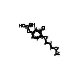 CCOCCCOc1ccc(OB(O)O)cc1Cl